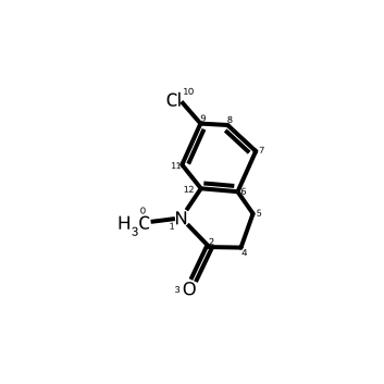 CN1C(=O)CCc2ccc(Cl)cc21